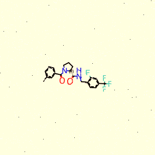 Cc1cccc(C(=O)N2CCC[C@@H]2C(=O)NCc2ccc(C(F)(F)F)cc2F)c1